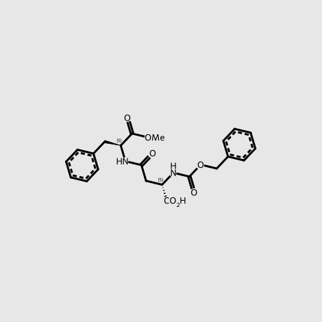 COC(=O)[C@H](Cc1ccccc1)NC(=O)C[C@H](NC(=O)OCc1ccccc1)C(=O)O